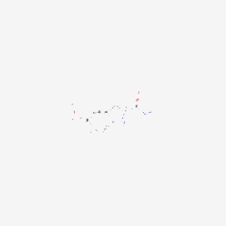 CCNC(=O)c1cc2cc(OC(F)(F)F)ccc2[nH]1